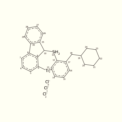 [Cl-].[Cl-].[Cl-].[Ti+3][c]1cccc2c1C([SiH2]c1ccccc1CC1CCCCC1)c1ccccc1-2